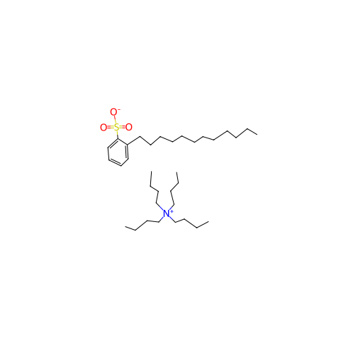 CCCCCCCCCCCCc1ccccc1S(=O)(=O)[O-].CCCC[N+](CCCC)(CCCC)CCCC